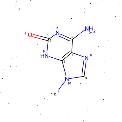 Nc1nc(=O)[nH]c2c1ncn2I